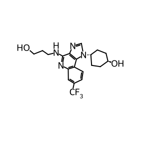 OCCCNc1nc2cc(C(F)(F)F)ccc2c2c1ncn2[C@H]1CC[C@H](O)CC1